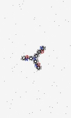 c1ccc2oc(-c3ccc(N(c4ccc(-c5ccc6c(c5)oc5cccnc56)cc4)c4ccc(-c5nc6ccccc6o5)cc4)cc3)nc2c1